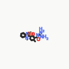 CC1=CCC(c2nc3ccccc3n2C)(S(C)(=O)=O)C=C1C(=O)N=C(N)N